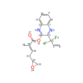 C=CC(F)(F)c1nc2ccccc2nc1OC(=O)C(C)=CCC1CO1